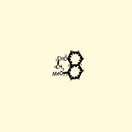 CC=O.COc1cccc2ccccc12